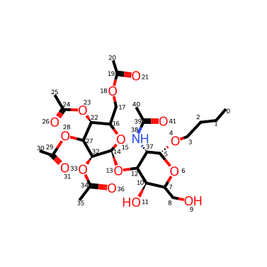 CCCCO[C@@H]1OC(CO)[C@@H](O)C(O[C@@H]2OC(COC(C)=O)[C@H](OC(C)=O)C(OC(C)=O)[C@@H]2OC(C)=O)[C@@H]1NC(C)=O